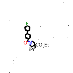 CCOC(=O)C1(CC(C)C)CCN(C(=O)c2ccc(-c3ccc(F)cc3)cc2)CC1